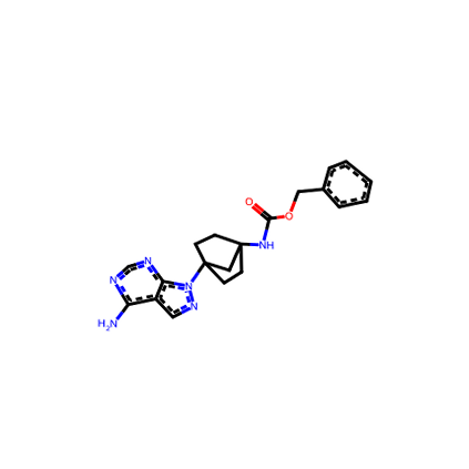 Nc1ncnc2c1cnn2C12CCC(NC(=O)OCc3ccccc3)(CC1)C2